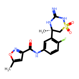 Cc1cc(C(=O)Nc2ccc(F)c([C@]3(C)CS(=O)(=O)NC(=N)N3)c2)no1